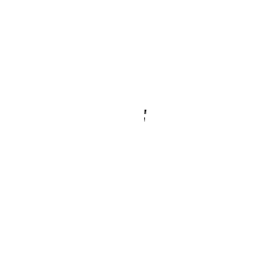 O=C1C[C@H](c2ccccc2)c2ccccc2O1